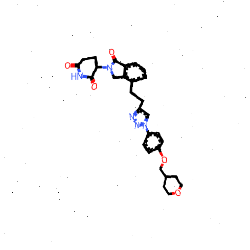 O=C1CCC(N2Cc3c(CCc4cn(-c5ccc(OCC6CCOCC6)cc5)nn4)cccc3C2=O)C(=O)N1